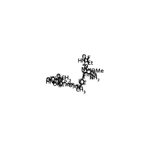 CC[C@@H]1[C@H](F)C(=O)N[C@@H]1COc1ncc(C#CC2CCC(CN(C)CCCOCCCc3cccc4c3n(C)c(=O)n4C3CCC(=O)NC3O)CC2)c2cc(C(N)=O)c(OC)cc12